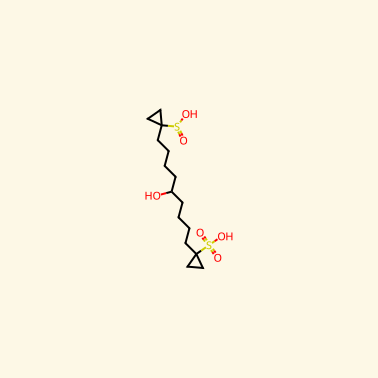 O=S(O)C1(CCCCC(O)CCCCC2(S(=O)(=O)O)CC2)CC1